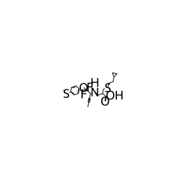 CC#CC(NCC(CSCCC1CC1)C(=O)O)C(F)(F)Oc1ccc(SC)cc1